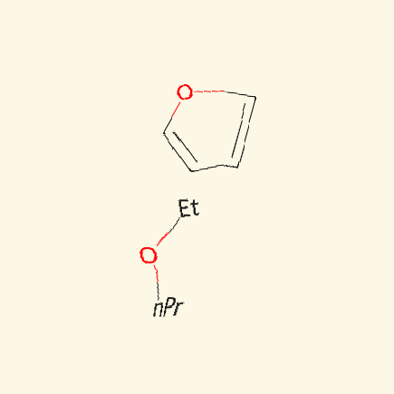 CCCOCC.c1ccoc1